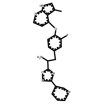 Cc1c[nH]c2nccc(Oc3ccc(CC(N)c4nc(-c5cccnc5)no4)cc3F)c12